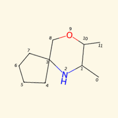 CC1NC2(CCCC2)COC1C